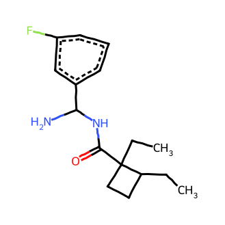 CCC1CCC1(CC)C(=O)NC(N)c1cccc(F)c1